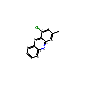 Cc1cc(Cl)c2cc3ccccc3nc2c1